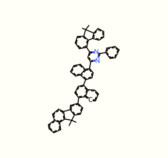 CC1(C)c2ccccc2-c2c(-c3cc(-c4ccc(-c5ccc(-c6ccc7c(c6)-c6ccc8ccccc8c6C7(C)C)c6ccccc56)c5ccccc45)nc(-c4ccccc4)n3)cccc21